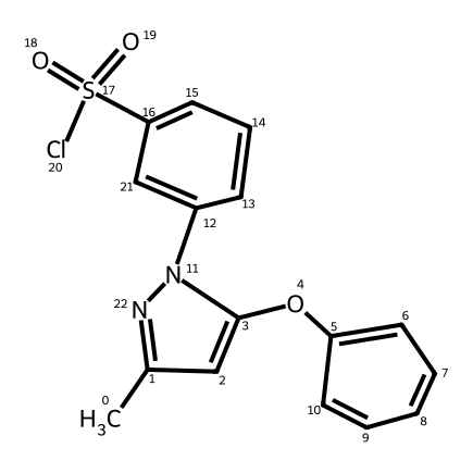 Cc1cc(Oc2ccccc2)n(-c2cccc(S(=O)(=O)Cl)c2)n1